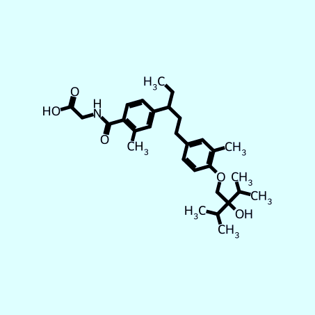 CCC(CCc1ccc(OCC(O)(C(C)C)C(C)C)c(C)c1)c1ccc(C(=O)NCC(=O)O)c(C)c1